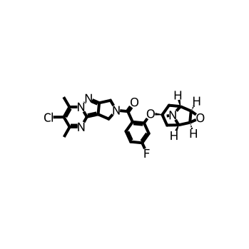 Cc1nc2c3c(nn2c(C)c1Cl)CN(C(=O)c1ccc(F)cc1O[C@H]1C[C@@H]2[C@H]4O[C@H]4[C@H](C1)N2C)C3